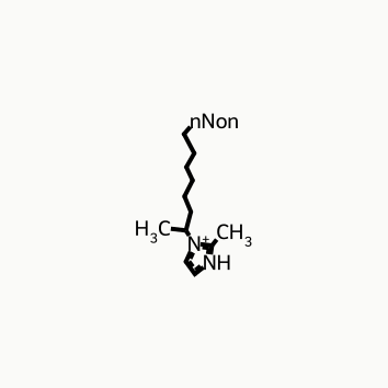 CCCCCCCCCCCCCCCC(C)[n+]1cc[nH]c1C